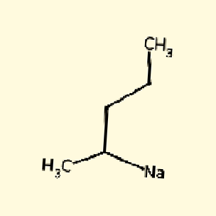 CCC[CH](C)[Na]